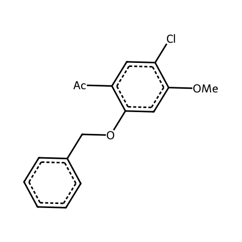 COc1cc(OCc2ccccc2)c(C(C)=O)cc1Cl